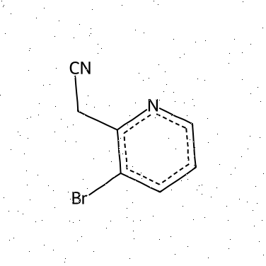 N#CCc1ncccc1Br